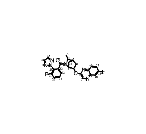 CC1C2CC(Oc3cnc4cc(F)ccc4n3)C(C2)N1C(=O)c1cccc(F)c1-n1nccn1